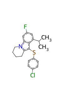 CC(C)c1cc(F)cc2c1c(Sc1ccc(Cl)cc1)c1n2CCCC1